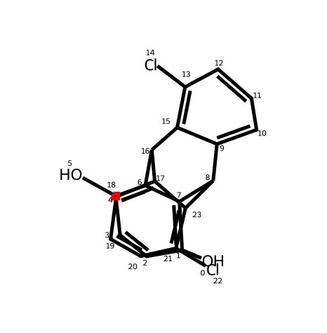 Oc1ccc(O)c2c1C1c3cccc(Cl)c3C2c2cccc(Cl)c21